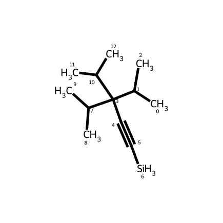 CC(C)C(C#C[SiH3])(C(C)C)C(C)C